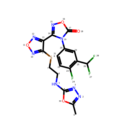 Cc1nnc(NCCSc2nonc2-c2noc(=O)n2-c2ccc(F)c(C(F)F)c2)o1